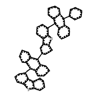 c1ccc(-c2c3ccccc3c(-c3cccc4c3sc3ccc(-c5c6ccccc6c(-c6cccc7sc8ccccc8c67)c6ccccc56)cc34)c3ccccc23)cc1